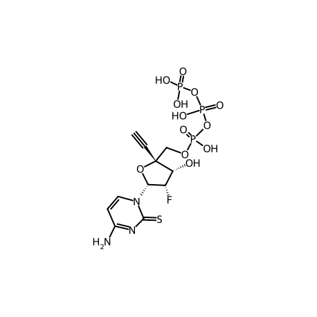 C#C[C@]1(COP(=O)(O)OP(=O)(O)OP(=O)(O)O)O[C@@H](n2ccc(N)nc2=S)[C@@H](F)[C@H]1O